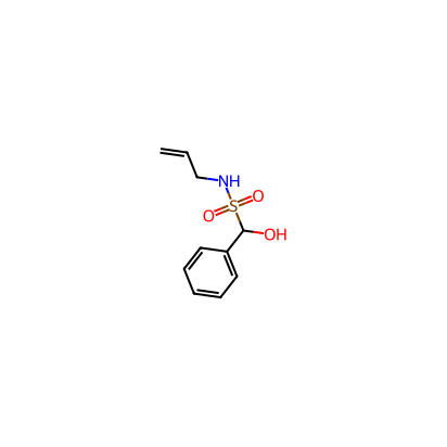 C=CCNS(=O)(=O)C(O)c1ccccc1